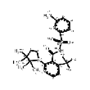 CC1(C)CCN(c2nccc(C(F)(F)F)c2C(=O)NS(=O)(=O)c2cccc(N)n2)C1(C)C